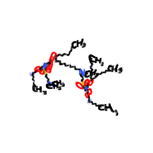 CCCCCC/C=C\COC(=O)CN(CC(=O)OC(CCCCCCCC)CCCCCCCCCCN(CC)CCCSC(=O)N(CC(=O)OC/C=C\CCCCCC)CC(=O)OC(CCCCCCCC)CCCCCCCC)C(=O)SCCCCN(C)C